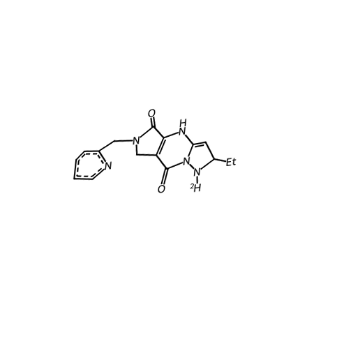 [2H]N1C(CC)C=C2NC3=C(CN(Cc4ccccn4)C3=O)C(=O)N21